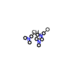 CC(c1ccc(N(c2ccccc2)c2ccccc2)cc1)c1ccc(N(c2ccc(C3CCCCC3)cc2)c2cccc3c2c2ccccc2n3-c2ccccc2)cc1